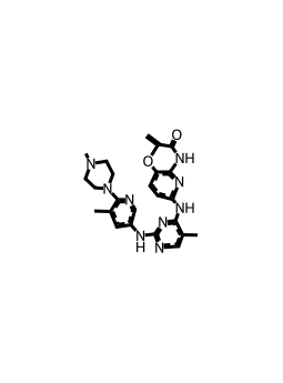 C=C1Oc2ccc(Nc3nc(Nc4cnc(N5CCN(C)CC5)c(C)c4)ncc3C)nc2NC1=O